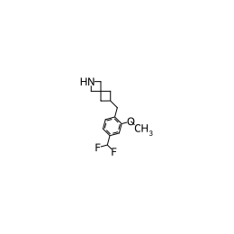 COc1cc(C(F)F)ccc1CC1CC2(CNC2)C1